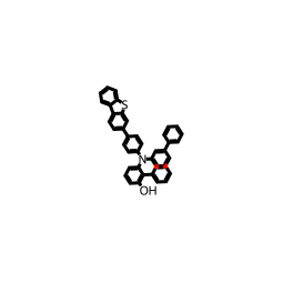 Oc1cccc(N(c2ccc(-c3ccc4c(c3)sc3ccccc34)cc2)c2cccc(-c3ccccc3)c2)c1-c1ccccc1